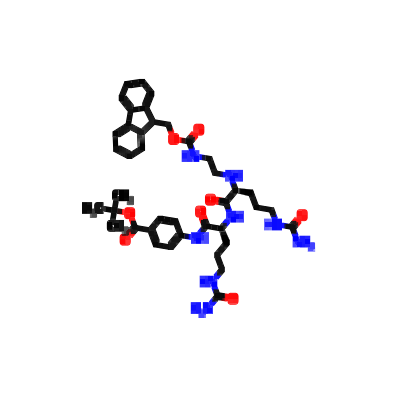 CC(C)(C)OC(=O)c1ccc(NC(=O)[C@H](CCCNC(N)=O)NC(=O)[C@H](CCCNC(N)=O)NCCNC(=O)OCC2c3ccccc3-c3ccccc32)cc1